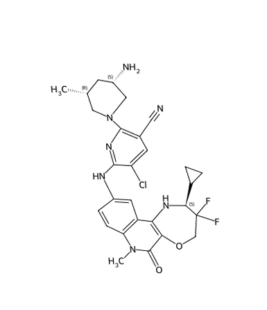 C[C@@H]1C[C@H](N)CN(c2nc(Nc3ccc4c(c3)c3c(c(=O)n4C)OCC(F)(F)[C@H](C4CC4)N3)c(Cl)cc2C#N)C1